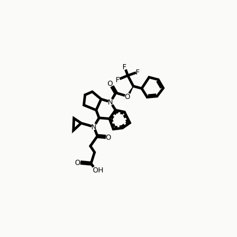 O=C(O)CCC(=O)N(C1CC1)C1c2ccccc2N(C(=O)O[C@H](C2C=CC=CC2)C(F)(F)F)C2CCCC21